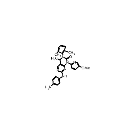 COc1ccc(N2C(=O)N(c3c(C)cccc3C)C(C)c3cnc(Nc4ccc(N)cc4)nc32)nc1